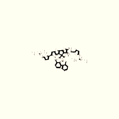 N#CC(C#N)=Nc1ccc(-c2cc3sc4c(c3s2)C(C(=O)OCc2ccccc2)(C(=O)OCc2ccccc2)c2c-4sc3nc(-c4ccc(N=C(C#N)C#N)s4)sc23)s1